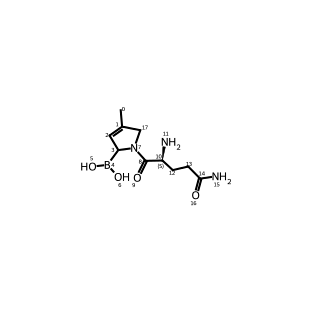 CC1=CC(B(O)O)N(C(=O)[C@@H](N)CCC(N)=O)C1